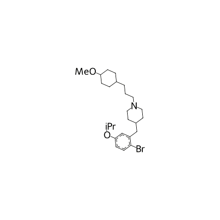 COC1CCC(CCCN2CCC(Cc3cc(OC(C)C)ccc3Br)CC2)CC1